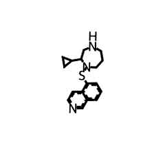 c1cc(SN2CCCNCC2C2CC2)c2ccncc2c1